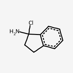 NC1(Cl)CCc2ccccc21